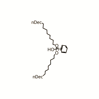 CCCCCCCCCCCCCCCCCCO[PH](O)(OCCCCCCCCCCCCCCCCCC)c1ccccc1